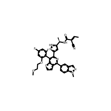 C/C=C(\C#N)C(=O)N[C@H](C)c1cc(-c2nc(-c3ccc4c(cnn4C)c3)c3ccsc3c2-c2c(F)cc(F)cc2OCCOC)n[nH]1